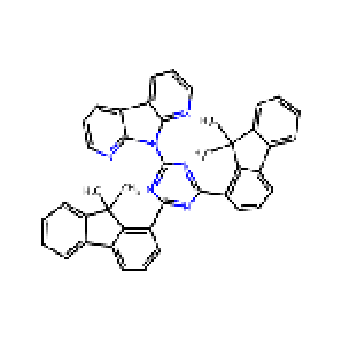 CC1(C)c2ccccc2-c2cccc(-c3nc(-c4cccc5c4C(C)(C)c4ccccc4-5)nc(-n4c5ncccc5c5cccnc54)n3)c21